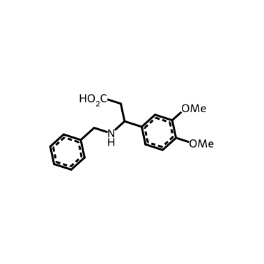 COc1ccc(C(CC(=O)O)NCc2ccccc2)cc1OC